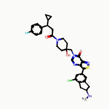 CNC1Cc2cc(-c3snc4c(=O)n(CC5(O)CCN(C(=O)CC(c6ccc(F)cc6)C6CC6)CC5)cnc34)cc(Cl)c2C1